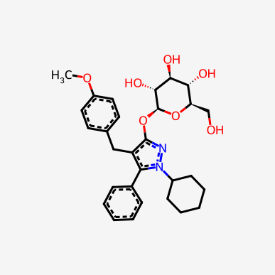 COc1ccc(Cc2c(O[C@@H]3O[C@H](CO)[C@@H](O)[C@H](O)[C@H]3O)nn(C3CCCCC3)c2-c2ccccc2)cc1